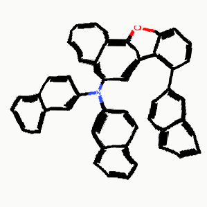 c1ccc2cc(-c3cccc4oc5c6ccccc6c(N(c6ccc7ccccc7c6)c6ccc7ccccc7c6)cc5c34)ccc2c1